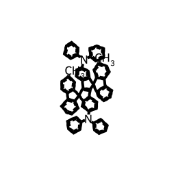 Cc1ccc2c(c1)C1(C3=C(c4ccc(N(c5ccccc5)c5ccccc5)cc41)C1(c4cc(N(c5ccccc5)c5ccccc5)ccc43)c3ccccc3-c3ccc(C)cc31)c1ccccc1-2